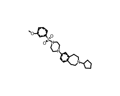 COc1cccc(S(=O)(=O)N2CCN(c3ccc4c(c3)CCN(C3CCCC3)CC4)CC2)c1